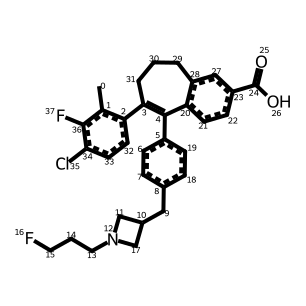 Cc1c(C2=C(c3ccc(CC4CN(CCCF)C4)cc3)c3ccc(C(=O)O)cc3CCC2)ccc(Cl)c1F